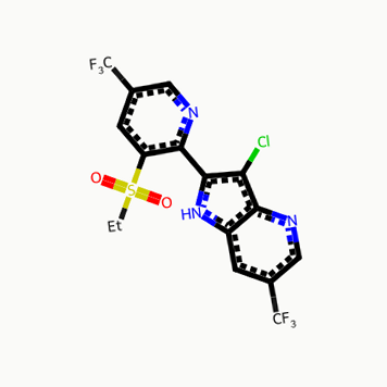 CCS(=O)(=O)c1cc(C(F)(F)F)cnc1-c1[nH]c2cc(C(F)(F)F)cnc2c1Cl